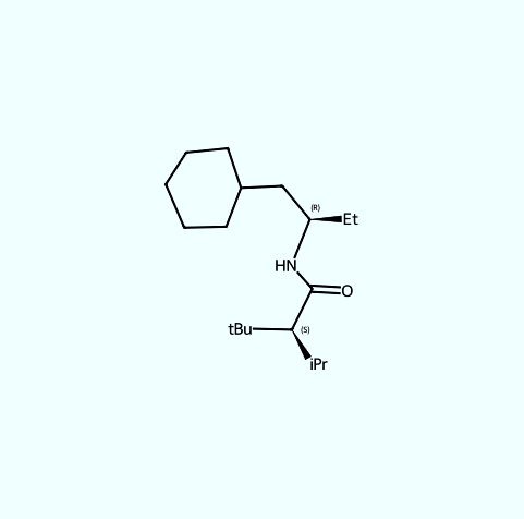 CC[C@H](CC1CCCCC1)NC(=O)[C@@H](C(C)C)C(C)(C)C